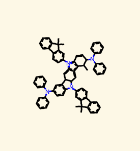 CC1c2c(n(-c3ccc4c(c3)C(C)(C)c3ccccc3-4)c3c2=CC2C(C=3)c3cc(N(c4ccccc4)c4ccccc4)ccc3N2c2ccc3c(c2)C(C)(C)c2ccccc2-3)C=CC1N(c1ccccc1)c1ccccc1